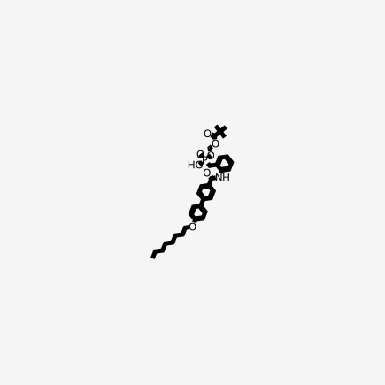 CCCCCCCCOc1ccc(-c2ccc(C(=O)Nc3ccccc3CP(=O)(O)OCOC(=O)C(C)(C)C)cc2)cc1